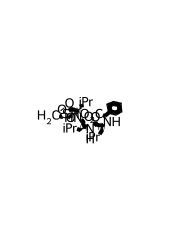 C=CS(=O)(=O)C(=O)[C@H](CC(C)C)NC(=O)[C@H](CC(C)C)NC(=O)[C@H](CC(C)C)NC(C(=O)O)c1ccccc1